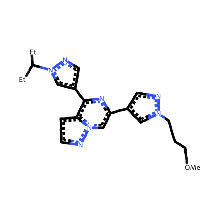 CCC(CC)n1cc(-c2nc(-c3cnn(CCCOC)c3)cn3nccc23)cn1